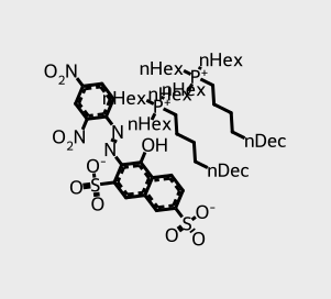 CCCCCCCCCCCCCC[P+](CCCCCC)(CCCCCC)CCCCCC.CCCCCCCCCCCCCC[P+](CCCCCC)(CCCCCC)CCCCCC.O=[N+]([O-])c1ccc(N=Nc2c(S(=O)(=O)[O-])cc3cc(S(=O)(=O)[O-])ccc3c2O)c([N+](=O)[O-])c1